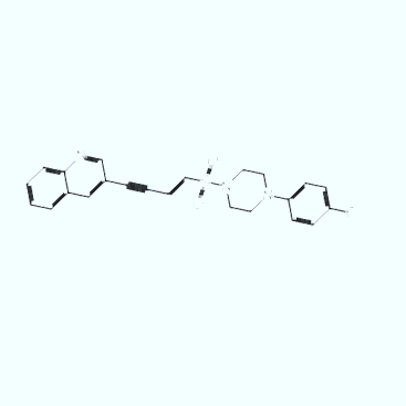 O=S(=O)(/C=C/C#Cc1cnc2ccccc2c1)N1CCN(c2ccc(F)cc2)CC1